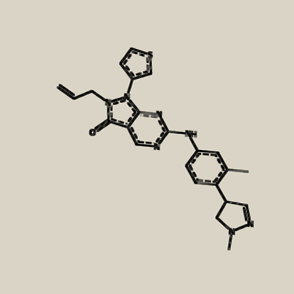 C=CCn1c(=O)c2cnc(Nc3ccc(C4C=NN(C)C4)c(C)c3)nc2n1-c1ccsc1